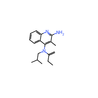 C=C(CC)N(CC(C)C)c1c(C)c(N)nc2ccccc12